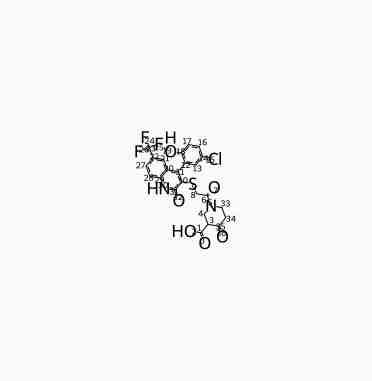 O=C(O)C1CN(C(=O)CSc2c(-c3cc(Cl)ccc3O)c3cc(C(F)(F)F)ccc3[nH]c2=O)CCC1=O